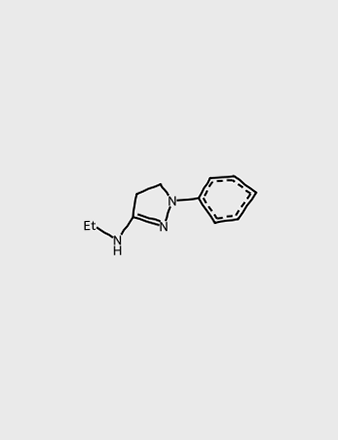 CCNC1=NN(c2ccccc2)CC1